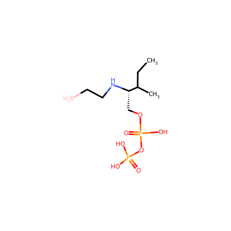 BCCN[C@@H](COP(=O)(O)OP(=O)(O)O)C(C)CC